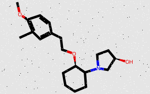 COc1ccc(CCO[C@@H]2CCCCC2N2CC[C@@H](O)C2)cc1C